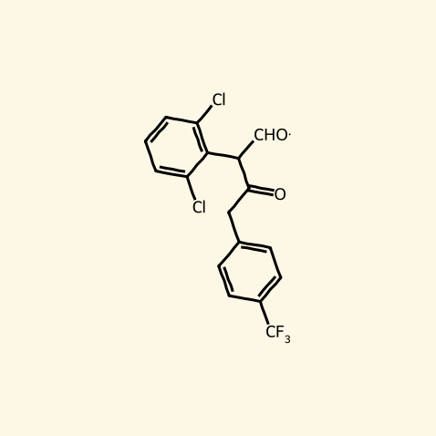 O=[C]C(C(=O)Cc1ccc(C(F)(F)F)cc1)c1c(Cl)cccc1Cl